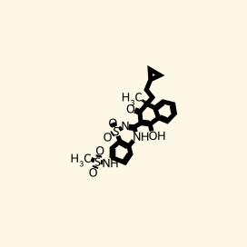 C[C@]1(CCC2CC2)C(=O)C(C2=NS(=O)(=O)c3cc(NS(C)(=O)=O)ccc3N2)=C(O)c2ccccc21